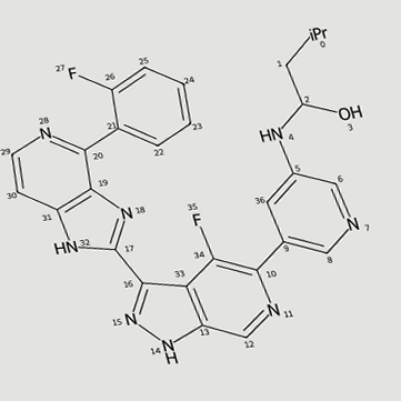 CC(C)CC(O)Nc1cncc(-c2ncc3[nH]nc(-c4nc5c(-c6ccccc6F)nccc5[nH]4)c3c2F)c1